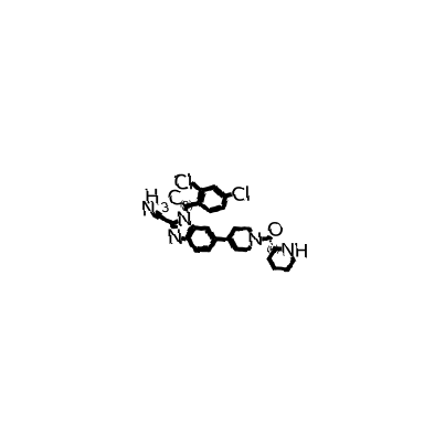 C[C@H](c1ccc(Cl)cc1Cl)n1c(C#N)nc2ccc(C3=CCN(C(=O)[C@H]4CCCCN4)CC3)cc21